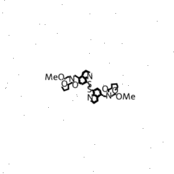 COCCN(Cc1ccc(SSc2ccc(CN(CCOC)C(=O)C3CCCO3)c3cccnc23)c2ncccc12)C(=O)C1CCCO1